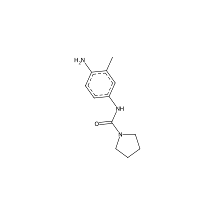 Cc1cc(NC(=O)N2CCCC2)ccc1N